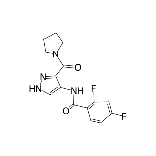 O=C(Nc1c[nH]nc1C(=O)N1CCCC1)c1ccc(F)cc1F